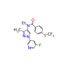 CCN(C(=O)c1ccc(SC(F)(F)F)cc1)c1cn(-c2cncc(F)c2)nc1C